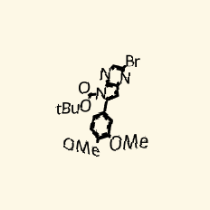 COc1ccc(-c2cc3nc(Br)cnc3n2C(=O)OC(C)(C)C)cc1OC